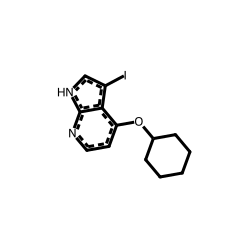 Ic1c[nH]c2nccc(OC3CCCCC3)c12